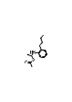 CCCCc1ccccc1NC(C)OC(C)=O